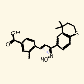 Cc1cc(C(=O)O)ccc1/C=C/C(=N\O)c1ccc2c(c1)C(C)(C)CCS2